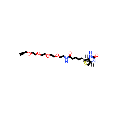 C#CCOCCOCCOCCOCCNC(=O)CCCC[C@@H]1SC[C@@H]2NC(=O)N[C@@H]21